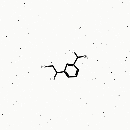 CC(C)c1cccc(C(O)CO)c1